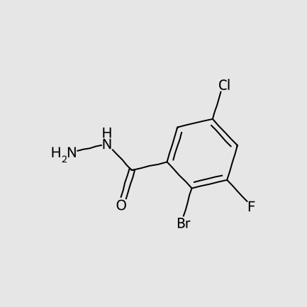 NNC(=O)c1cc(Cl)cc(F)c1Br